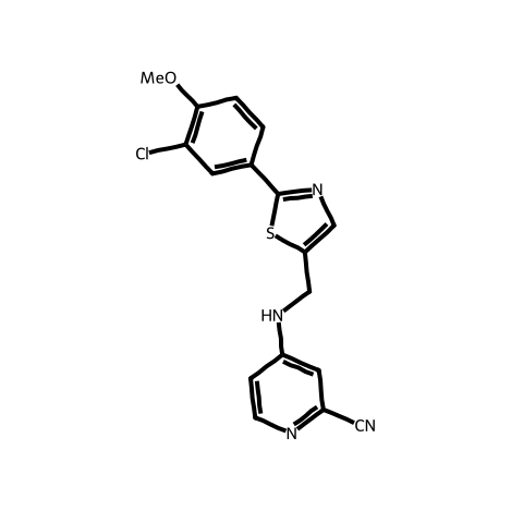 COc1ccc(-c2ncc(CNc3ccnc(C#N)c3)s2)cc1Cl